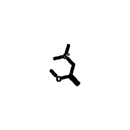 C=C(C[S+](C)C)OC